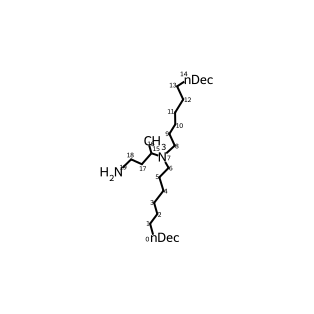 CCCCCCCCCCCCCCCCN(CCCCCCCCCCCCCCCC)C(C)CCN